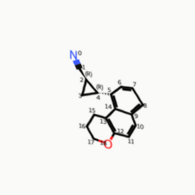 N#C[C@@H]1C[C@H]1c1cccc2ccc3c(c12)CCCO3